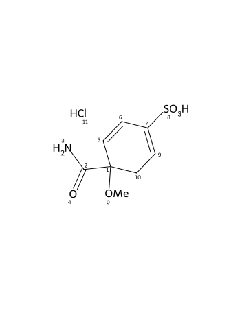 COC1(C(N)=O)C=CC(S(=O)(=O)O)=CC1.Cl